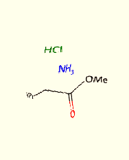 COC(=O)CC(C)C.Cl.N